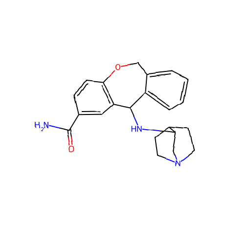 NC(=O)c1ccc2c(c1)C(NC1CN3CCC1CC3)c1ccccc1CO2